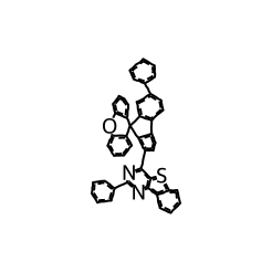 c1ccc(-c2ccc3c(c2)C2(c4ccccc4Oc4ccccc42)c2cc(-c4nc(-c5ccccc5)nc5c4sc4ccccc45)ccc2-3)cc1